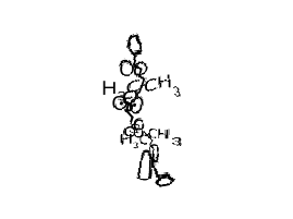 CC(C)(CCOC(=O)c1ccccc1)COS(=O)(=O)CCCS(=O)(=O)OCC(C)(C)CCOC(=O)c1ccccc1